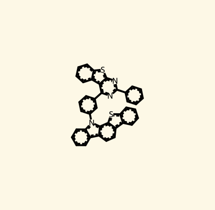 c1ccc(-c2nc(-c3cccc(-n4c5ccccc5c5ccc6c7ccccc7sc6c54)c3)c3c(n2)sc2ccccc23)cc1